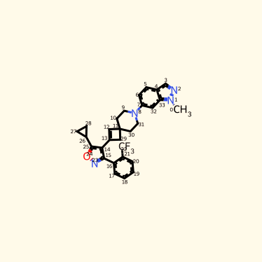 Cn1ncc2ccc(N3CCC4(C=C(c5c(-c6ccccc6C(F)(F)F)noc5C5CC5)C4)CC3)cc21